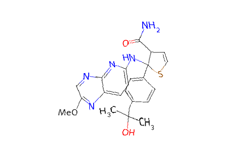 COc1cnc2nc(NC3(c4ccc(C(C)(C)O)cc4)SC=CC3C(N)=O)ccc2n1